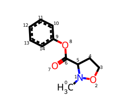 CN1OCCC1C(=O)Oc1ccccc1